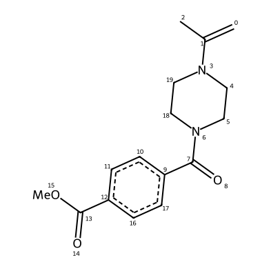 C=C(C)N1CCN(C(=O)c2ccc(C(=O)OC)cc2)CC1